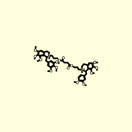 COc1ccc(CC2c3c(cc(OC)c(OC)c3OC)CC[N+]2(C)CCCOC(=O)CCC(=O)OCCC[N+]2(C)CCc3cc(OC)c(OC)c(OC)c3C2Cc2cc(OC)c(OC)c(OC)c2)cc1OC